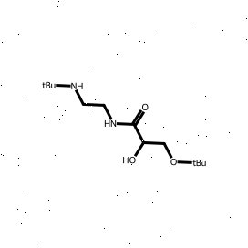 CC(C)(C)NCCNC(=O)C(O)COC(C)(C)C